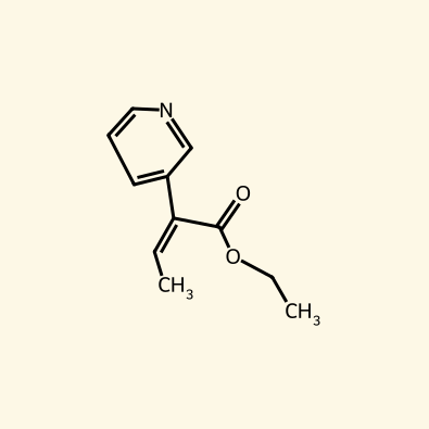 CC=C(C(=O)OCC)c1cccnc1